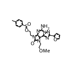 COCCn1c(=O)n(CCOS(=O)c2ccc(C)cc2)c2nc(N)n3nc(-c4ccco4)nc3c21